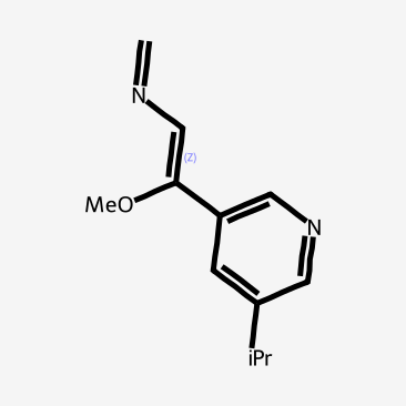 C=N/C=C(\OC)c1cncc(C(C)C)c1